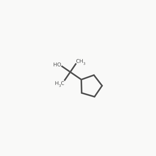 CC(C)(O)C1CCCC1